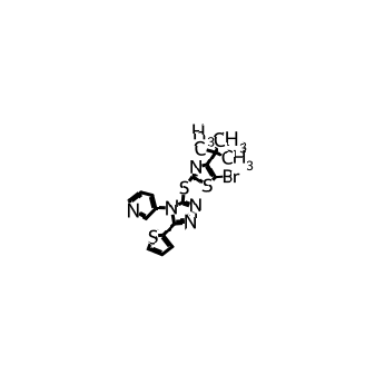 CC(C)(C)c1nc(Sc2nnc(-c3cccs3)n2-c2cccnc2)sc1Br